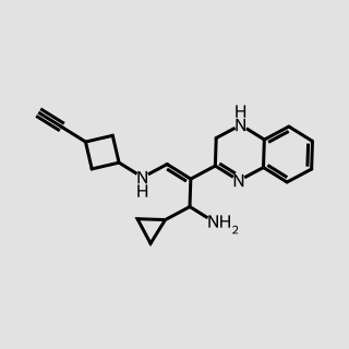 C#CC1CC(N/C=C(/C2=Nc3ccccc3NC2)C(N)C2CC2)C1